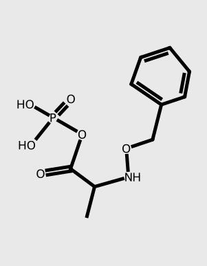 CC(NOCc1ccccc1)C(=O)OP(=O)(O)O